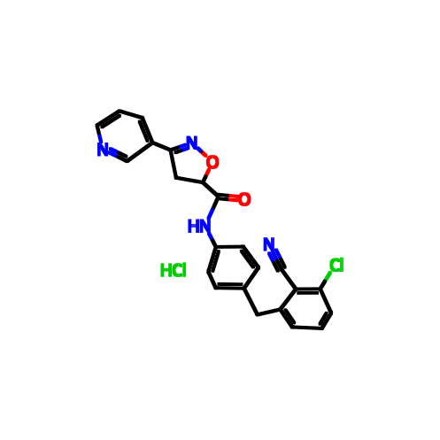 Cl.N#Cc1c(Cl)cccc1Cc1ccc(NC(=O)C2CC(c3cccnc3)=NO2)cc1